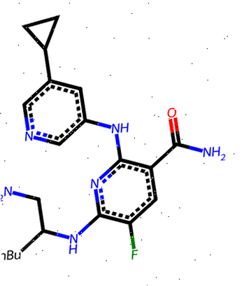 CCCCC(CN)Nc1nc(Nc2cncc(C3CC3)c2)c(C(N)=O)cc1F